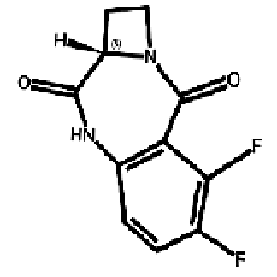 O=C1Nc2ccc(F)c(F)c2C(=O)N2CC[C@@H]12